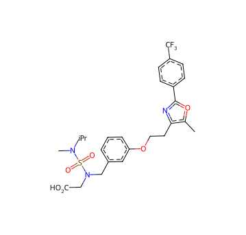 Cc1oc(-c2ccc(C(F)(F)F)cc2)nc1CCOc1cccc(CN(CC(=O)O)S(=O)(=O)N(C)C(C)C)c1